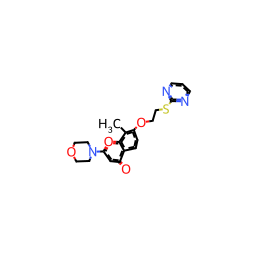 Cc1c(OCCSc2ncccn2)ccc2c(=O)cc(N3CCOCC3)oc12